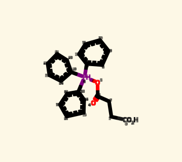 O=C(O)CCC(=O)O[PH](c1ccccc1)(c1ccccc1)c1ccccc1